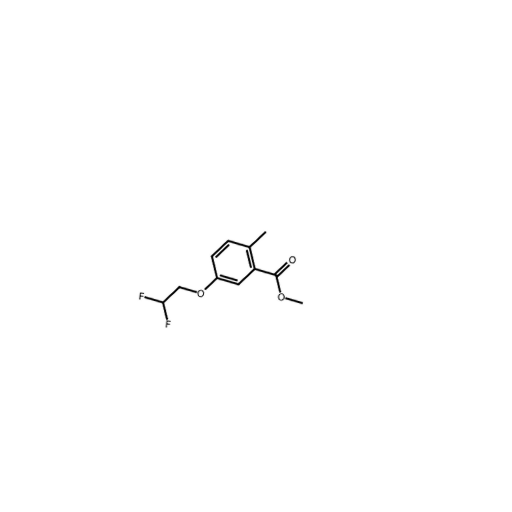 COC(=O)c1cc(OCC(F)F)ccc1C